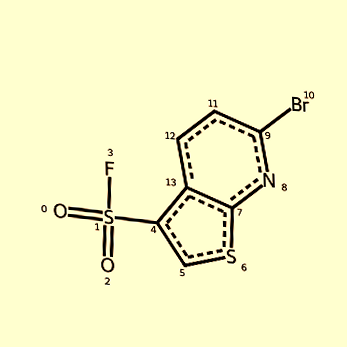 O=S(=O)(F)c1csc2nc(Br)ccc12